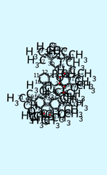 COc1cccc2c1-c1c(cccc1P(c1cc(C(C)(C)C)c(OC)c(C(C)(C)C)c1)c1cc(C(C)(C)C)c(OC)c(C(C)(C)C)c1)O[PH]2(c1cc(C(C)(C)C)c(OC)c(C(C)(C)C)c1)c1cc(C(C)(C)C)c(OC)c(C(C)(C)C)c1